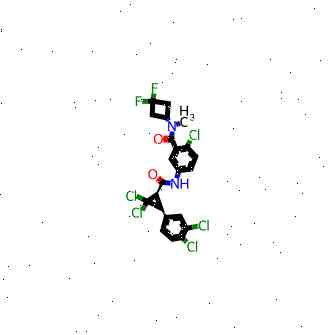 CN(C(=O)c1cc(NC(=O)[C@H]2[C@H](c3ccc(Cl)c(Cl)c3)C2(Cl)Cl)ccc1Cl)C1CC(F)(F)C1